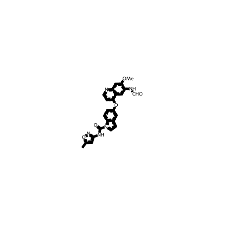 COc1cc2nccc(Oc3ccc4c(ccn4C(=O)Nc4cc(C)on4)c3)c2cc1NC=O